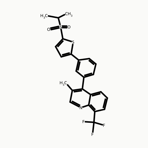 Cc1cnc2c(C(F)(F)F)cccc2c1-c1cccc(-c2ccc(S(=O)(=O)C(C)C)s2)c1